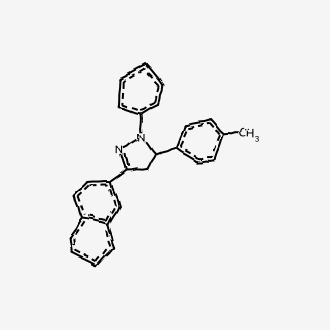 Cc1ccc(C2CC(c3ccc4ccccc4c3)=NN2c2ccccc2)cc1